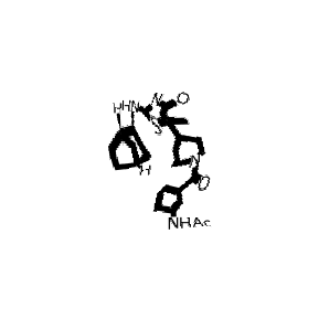 CC(=O)Nc1cccc(C(=O)N2CCC(C3(C)SC(N[C@H]4C[C@@H]5CC[C@H]4C5)=NC3=O)CC2)c1